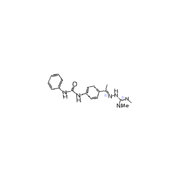 C/N=C(\NC)N/N=C(\C)c1ccc(NC(=O)Nc2ccccc2)cc1